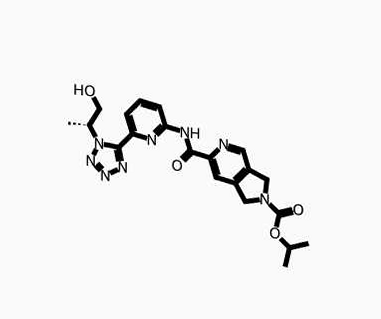 CC(C)OC(=O)N1Cc2cnc(C(=O)Nc3cccc(-c4nnnn4[C@H](C)CO)n3)cc2C1